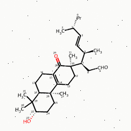 CC(C)[C@@H](C)/C=C/[C@@H](C)[C@@H](CC=O)[C@@]1(C)CCC2=C(CCC3C(C)(C)[C@@H](O)CC[C@]23C)C1=O